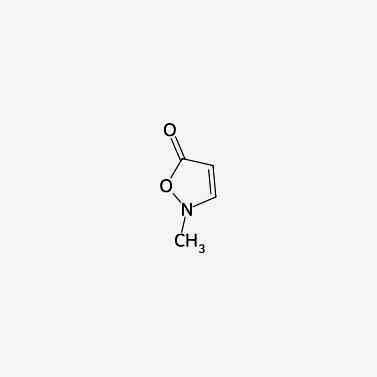 Cn1ccc(=O)o1